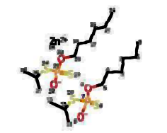 CCCCCCOP([O-])(=S)SC(C)C.CCCCCCOP([O-])(=S)SC(C)C.[Zn+2]